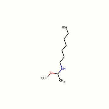 CC(NCCCCCCC(C)(C)C)O[C]=O